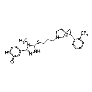 CN1C(c2cc[nH]c(=O)c2)=NNC1SCCCN1CC[C@]2(CC2c2ccccc2C(F)(F)F)C1